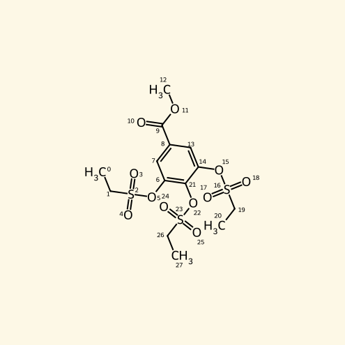 CCS(=O)(=O)Oc1cc(C(=O)OC)cc(OS(=O)(=O)CC)c1OS(=O)(=O)CC